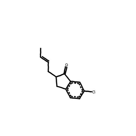 CC=CCC1Cc2ccc(Cl)cc2C1=O